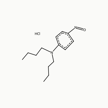 CCCCN(CCCC)c1ccc(N=O)cc1.Cl